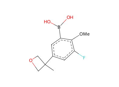 COc1c(F)cc(C2(C)COC2)cc1B(O)O